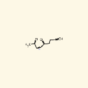 C#CCCC(=O)/C=C\C(C)=O